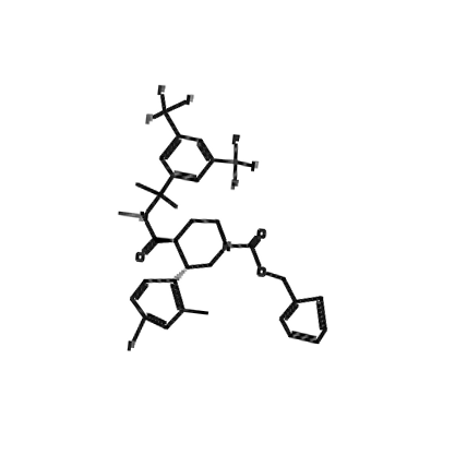 Cc1cc(F)ccc1[C@H]1CN(C(=O)OCc2ccccc2)CC[C@@H]1C(=O)N(C)C(C)(C)c1cc(C(F)(F)F)cc(C(F)(F)F)c1